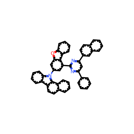 c1ccc(-c2cc(-c3ccc4ccccc4c3)nc(-c3cc(-n4c5ccccc5c5ccc6ccccc6c54)cc4oc5ccccc5c34)n2)cc1